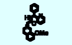 COc1cccc2c1CN(CC(=O)NC(c1ccccc1)c1ccccn1)CC2